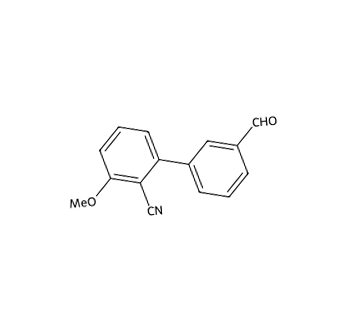 COc1cccc(-c2cccc(C=O)c2)c1C#N